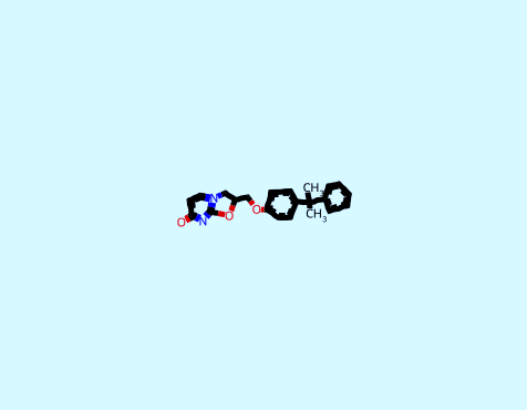 CC(C)(c1ccccc1)c1ccc(OCC2Cn3ccc(=O)nc3O2)cc1